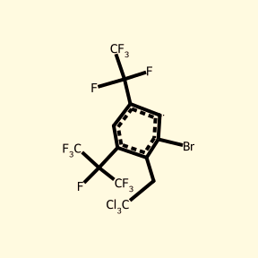 FC(F)(F)C(F)(F)c1[c]c(Br)c(CC(Cl)(Cl)Cl)c(C(F)(C(F)(F)F)C(F)(F)F)c1